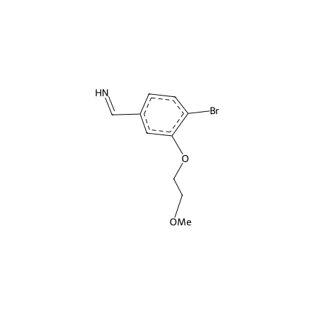 COCCOc1cc(C=N)ccc1Br